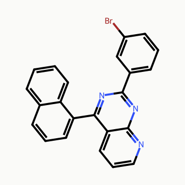 Brc1cccc(-c2nc(-c3cccc4ccccc34)c3cccnc3n2)c1